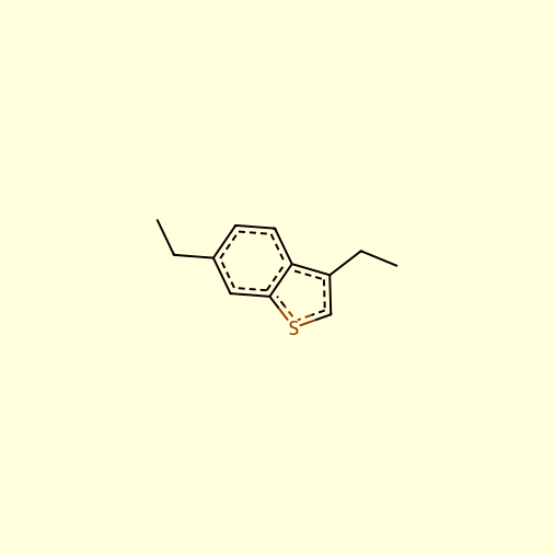 CCc1ccc2c(CC)csc2c1